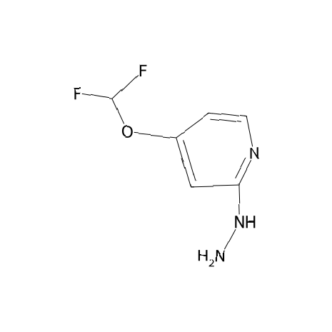 NNc1cc(OC(F)F)ccn1